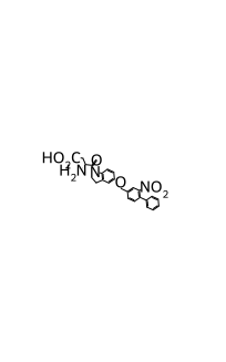 N[C@H](CC(=O)O)C(=O)N1CCc2cc(OCc3ccc(-c4ccccc4)c([N+](=O)[O-])c3)ccc21